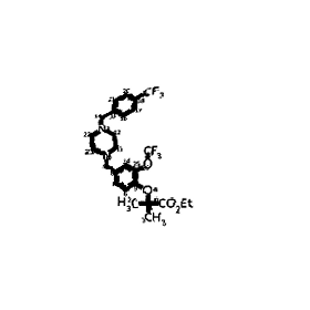 CCOC(=O)C(C)(C)Oc1ccc(CN2CCN(Cc3ccc(C(F)(F)F)cc3)CC2)cc1OC(F)(F)F